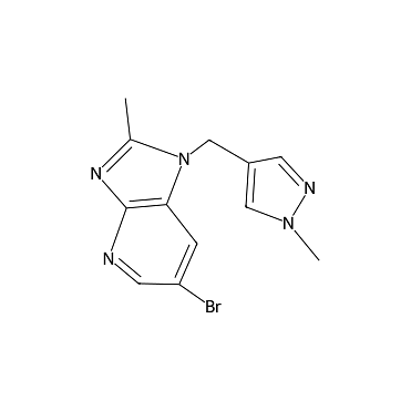 Cc1nc2ncc(Br)cc2n1Cc1cnn(C)c1